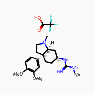 CCCCNC(=N)N[C@H]1CC[C@@]2(c3ccc(OC)c(OC)c3)CCN(C)[C@H]2C1.O=C(O)C(F)(F)F